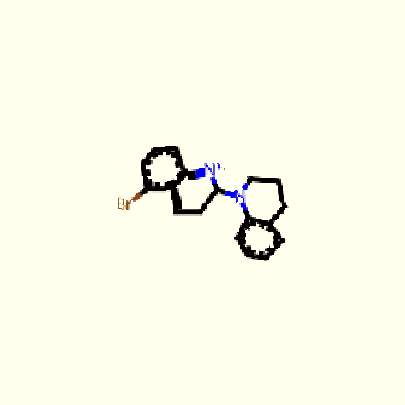 Brc1cccc2c1=CCC(N1CCCc3ccccc31)[N+]=2